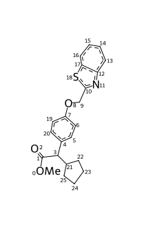 COC(=O)C(c1ccc(OCc2nc3ccccc3s2)cc1)C1CCCC1